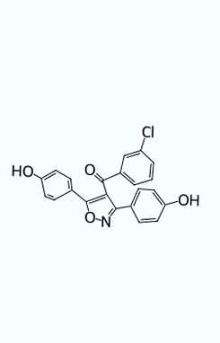 O=C(c1cccc(Cl)c1)c1c(-c2ccc(O)cc2)noc1-c1ccc(O)cc1